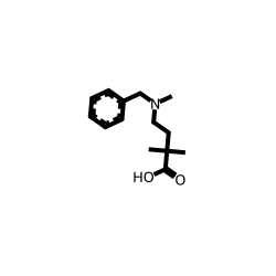 CN(CCC(C)(C)C(=O)O)Cc1ccccc1